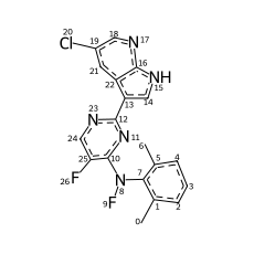 Cc1cccc(C)c1N(F)c1nc(-c2c[nH]c3ncc(Cl)cc23)ncc1F